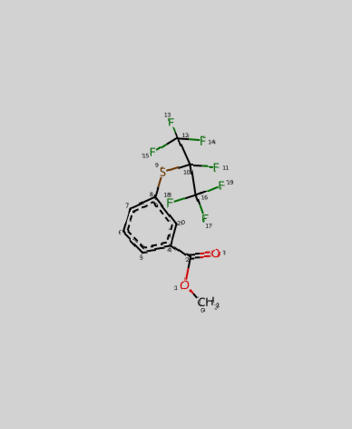 COC(=O)c1cccc(SC(F)(C(F)(F)F)C(F)(F)F)c1